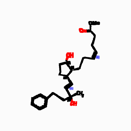 COC(=O)CC/C=C\CC[C@H]1[C@@H](O)CC[C@@H]1/C=C/[C@](C)(O)CCc1ccccc1